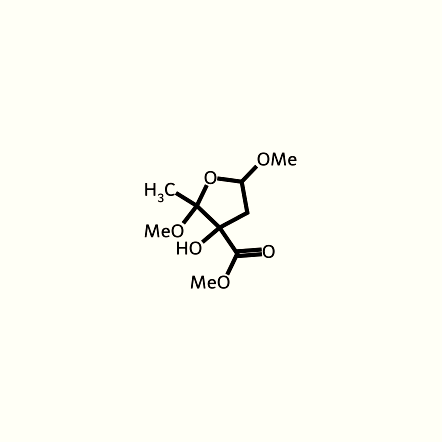 COC(=O)C1(O)CC(OC)OC1(C)OC